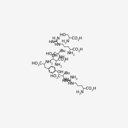 CC(O)C(N)C(=O)O.CCC(C)C(N)C(=O)O.CCC(C)C(N)C(=O)O.N=C(N)NCCCC(N)C(=O)O.N=C(N)NCCCC(N)C(=O)O.NC(CO)C(=O)O.NC(Cc1ccc(O)cc1)C(=O)O